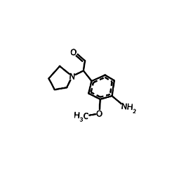 COc1cc(C(C=O)N2CCCC2)ccc1N